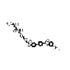 [CH3][AlH][CH2]CC(=O)NCCOCCOCC1Oc2ccc(-c3ccc(C4=Nc5cc(C)ccc5OC4)cc3)cc2O1